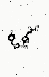 Cl.Cl.O=C(/C=C/c1cnc(N[C@@H]2CCN(Cc3ccc(Cl)cc3)C2)cn1)NO